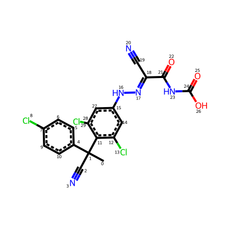 CC(C#N)(c1ccc(Cl)cc1)c1c(Cl)cc(N/N=C(\C#N)C(=O)NC(=O)O)cc1Cl